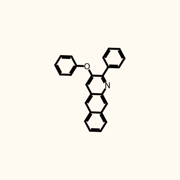 c1ccc(Oc2cc3cc4ccccc4cc3nc2-c2ccccc2)cc1